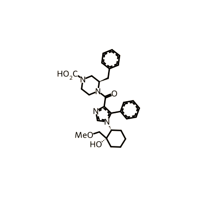 COC[C@]1(O)CCCC[C@H]1n1cnc(C(=O)N2CCN(C(=O)O)C[C@H]2Cc2ccccc2)c1-c1ccccc1